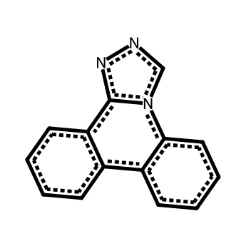 c1ccc2c(c1)c1ccccc1n1cnnc21